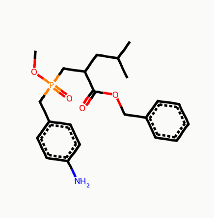 COP(=O)(Cc1ccc(N)cc1)CC(CC(C)C)C(=O)OCc1ccccc1